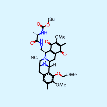 COCOc1c(OC)c(C)cc2c1[C@H]1C3CC4=C(C(=O)C(OC)=C(C)C4=O)[C@H](CNC(=O)[C@H](C)NC(=O)OC(C)(C)C)N3[C@@H](C#N)C(C2)N1C